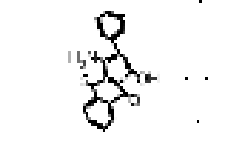 Nc1c(-c2ccccc2)cc(O)c2c1C(=S)c1ccccc1C2=O